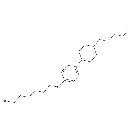 CCCCCC1CCC(c2ccc(OCCCCCCBr)cc2)CC1